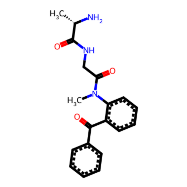 C[C@H](N)C(=O)NCC(=O)N(C)c1ccccc1C(=O)c1ccccc1